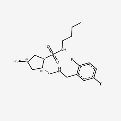 CCCCNS(=O)(=O)N1C[C@H](S)C[C@H]1CNCc1cc(F)ccc1F